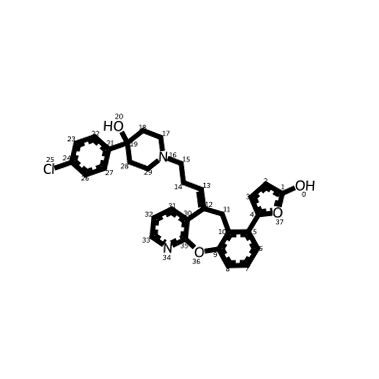 Oc1ccc(-c2cccc3c2C/C(=C/CCN2CCC(O)(c4ccc(Cl)cc4)CC2)c2cccnc2O3)o1